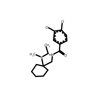 CCN(C)C1(CNC(=O)c2ccc(Cl)c(Cl)c2)CCCCC1